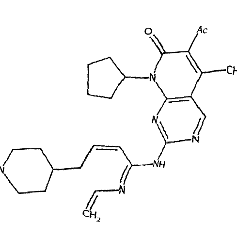 C=C/N=C(\C=C/CC1CCNCC1)Nc1ncc2c(C)c(C(C)=O)c(=O)n(C3CCCC3)c2n1